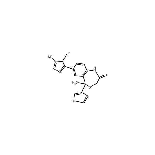 CC1(c2ccsc2)OCC(=O)Nc2ccc(-c3ccc(C#N)n3C#N)cc21